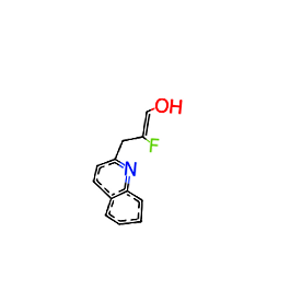 O/C=C(\F)Cc1ccc2ccccc2n1